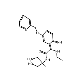 CCN/C(C(=O)NC(C)(CN)CO)=C1/C=C(OCc2ccccn2)C=CC1=N